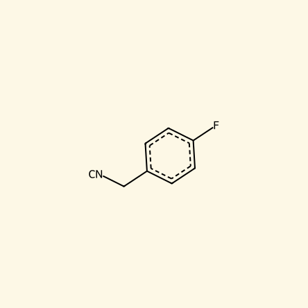 [C-]#[N+]Cc1ccc(F)cc1